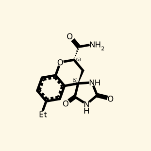 CCc1ccc2c(c1)[C@]1(C[C@@H](C(N)=O)O2)NC(=O)NC1=O